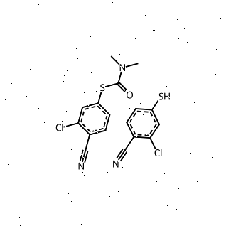 CN(C)C(=O)Sc1ccc(C#N)c(Cl)c1.N#Cc1ccc(S)cc1Cl